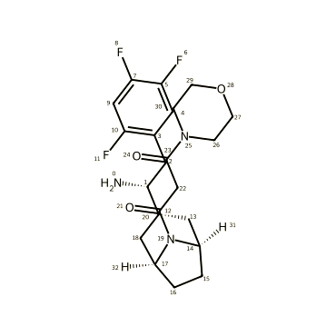 N[C@H](Cc1cc(F)c(F)cc1F)[C@@H]1C[C@H]2CC[C@@H](C1)N2C(=O)CC(=O)N1CCOCC1